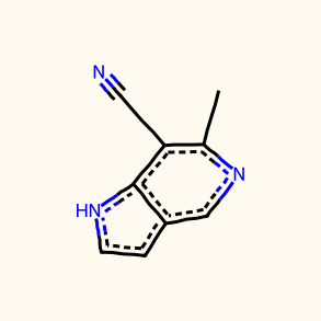 Cc1ncc2cc[nH]c2c1C#N